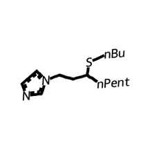 CCCCCC(CCn1ccnc1)SCCCC